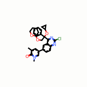 Cc1cc(-c2ccc3nc(Cl)nc(C(COC4CCCCO4)(OC4CC4)c4ccccc4)c3c2)cn(C)c1=O